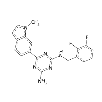 Cn1ccc2ccc(-c3nc(N)nc(NCc4cccc(F)c4F)n3)cc21